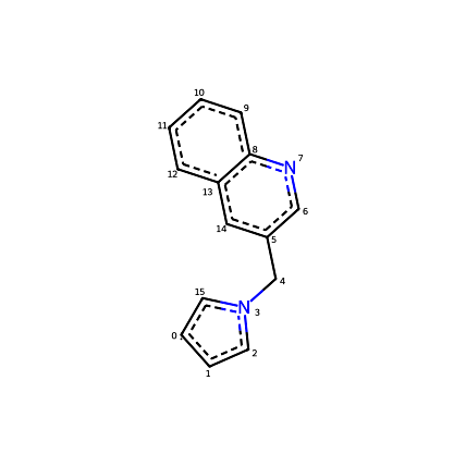 [c]1ccn(Cc2cnc3ccccc3c2)c1